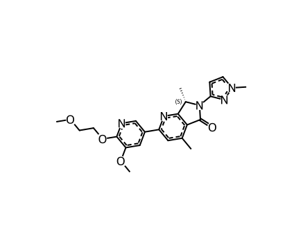 COCCOc1ncc(-c2cc(C)c3c(n2)[C@H](C)N(c2ccn(C)n2)C3=O)cc1OC